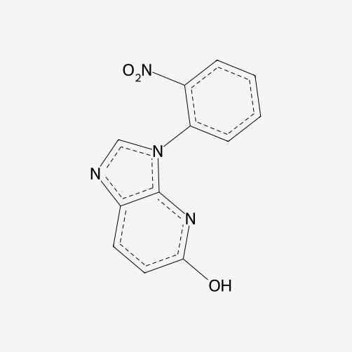 O=[N+]([O-])c1ccccc1-n1cnc2ccc(O)nc21